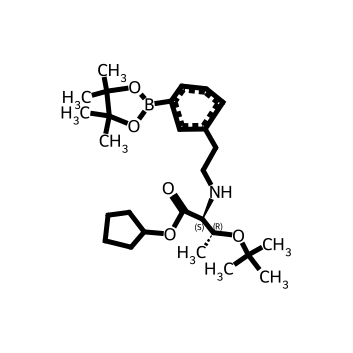 C[C@@H](OC(C)(C)C)[C@H](NCCc1cccc(B2OC(C)(C)C(C)(C)O2)c1)C(=O)OC1CCCC1